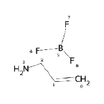 C=CCN.FB(F)F